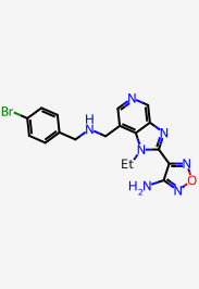 CCn1c(-c2nonc2N)nc2cncc(CNCc3ccc(Br)cc3)c21